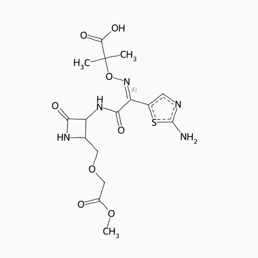 COC(=O)COCC1NC(=O)C1NC(=O)/C(=N\OC(C)(C)C(=O)O)c1cnc(N)s1